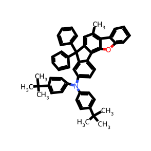 Cc1cc2c(c3oc4ccccc4c13)-c1ccc(N(c3ccc(C(C)(C)C)cc3)c3ccc(C(C)(C)C)cc3)cc1C2(c1ccccc1)c1ccccc1